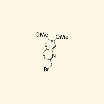 COc1cc2ccc(CBr)nc2cc1OC